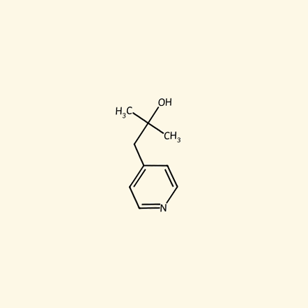 CC(C)(O)Cc1ccncc1